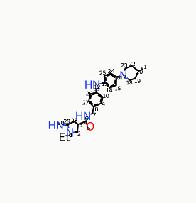 CCN1CC(C(=O)NCc2ccc(Nc3ccc(N4CCC(C)CC4)cc3)cc2)CC1=N